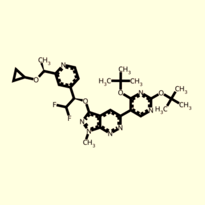 C[C@H](OC1CC1)c1cc([C@@H](Oc2nn(C)c3nnc(-c4cnc(OC(C)(C)C)nc4OC(C)(C)C)cc23)C(F)F)ccn1